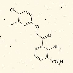 Nc1c(C(=O)O)cccc1C(=O)COc1ccc(Cl)c(F)c1